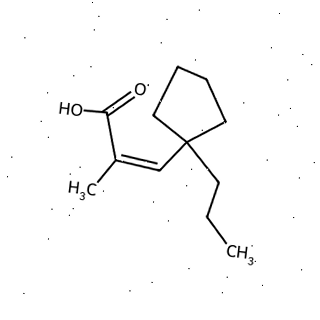 CCCC1(C=C(C)C(=O)O)CCCC1